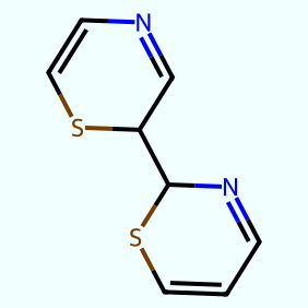 C1=CSC(C2C=NC=CS2)N=C1